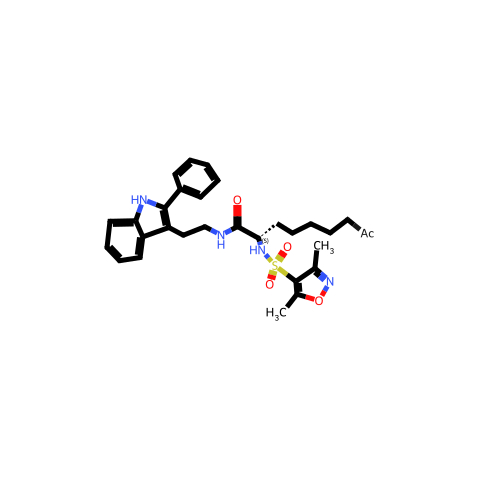 CC(=O)CCCCC[C@H](NS(=O)(=O)c1c(C)noc1C)C(=O)NCCc1c(-c2ccccc2)[nH]c2ccccc12